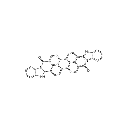 O=C1c2ccc3c4ccc5c6c(ccc(c7ccc(c2c73)C2Nc3ccccc3N12)c46)c(=O)n1c2ccccc2nc51